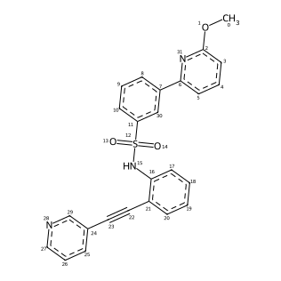 COc1cccc(-c2cccc(S(=O)(=O)Nc3ccccc3C#Cc3cccnc3)c2)n1